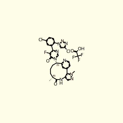 C[C@@H]1CCC[C@H](n2cnc(-c3cc(Cl)ccc3-n3cc(Cl)nn3)c(F)c2=O)c2cc(ccn2)-c2c(cnn2C)NC1=O.O=C(O)C(F)(F)F